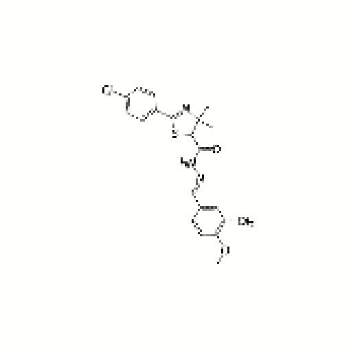 COc1ccc(/C=N/NC(=O)C2SC(c3ccc(Cl)cc3)=NC2(C)C)cc1O